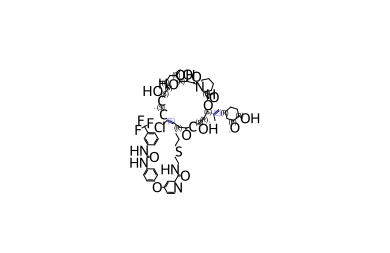 CO[C@@H]1C[C@H](/C=C(\C)[C@H]2OC(=O)[C@@H]3CCCCN3C(=O)C(=O)[C@]3(O)O[C@@H]([C@@H](C)C[C@H]3C)[C@@H](O)C[C@@H](C)C/C(C)=C/[C@@H](CCCSCCNC(=O)c3cc(Oc4ccc(NC(=O)Nc5ccc(Cl)c(C(F)(F)F)c5)cc4)ccn3)C(=O)C[C@H](O)[C@H]2C)CC[C@H]1O